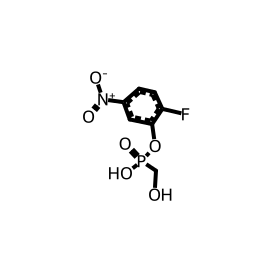 O=[N+]([O-])c1ccc(F)c(OP(=O)(O)CO)c1